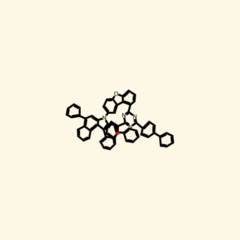 c1ccc(-c2ccc(-c3nc(-c4ccccc4)nc(-c4cccc5oc6ccc(-n7c8cc(-c9ccccc9)c9ccccc9c8c8c9ccccc9c(-c9ccccc9)cc87)cc6c45)n3)cc2)cc1